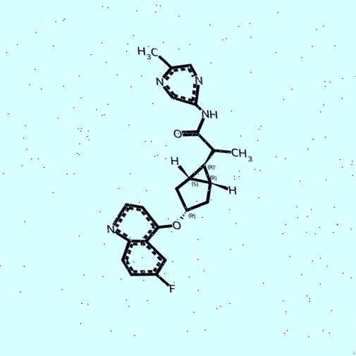 Cc1cnc(NC(=O)C(C)[C@H]2[C@@H]3C[C@H](Oc4ccnc5ccc(F)cc45)C[C@@H]32)cn1